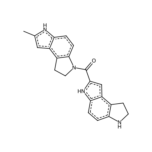 Cc1cc2c3c(ccc2[nH]1)N(C(=O)c1cc2c4c(ccc2[nH]1)NCC4)CC3